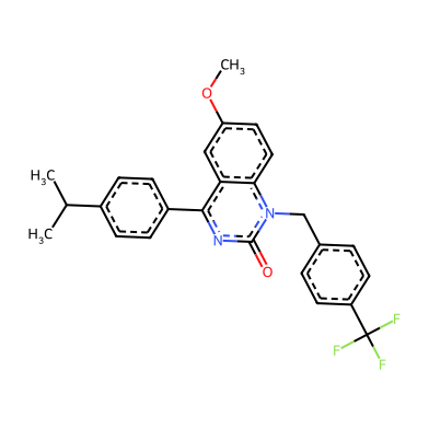 COc1ccc2c(c1)c(-c1ccc(C(C)C)cc1)nc(=O)n2Cc1ccc(C(F)(F)F)cc1